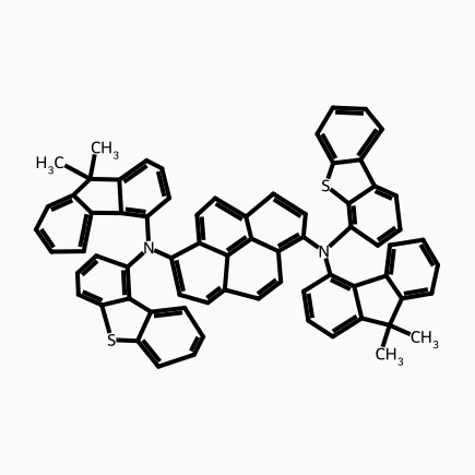 CC1(C)c2ccccc2-c2c(N(c3ccc4ccc5c(N(c6cccc7c6-c6ccccc6C7(C)C)c6cccc7sc8ccccc8c67)ccc6ccc3c4c65)c3cccc4c3sc3ccccc34)cccc21